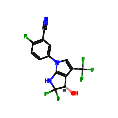 N#Cc1cc(-n2cc(C(F)(F)F)c3c2NC(F)(F)[C@H]3O)ccc1F